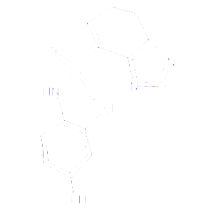 Cc1ccc(NS(=O)(=O)C2=CCCc3nonc32)c(Cl)c1